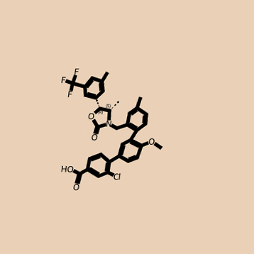 COc1ccc(-c2ccc(C(=O)O)cc2Cl)cc1-c1ccc(C)cc1CN1C(=O)O[C@H](c2cc(C)cc(C(F)(F)F)c2)[C@@H]1C